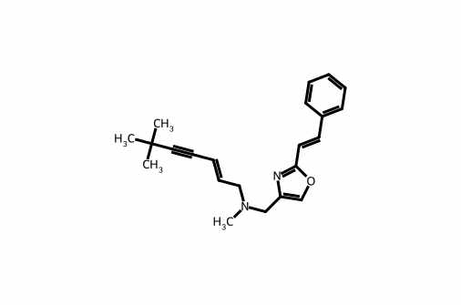 CN(CC=CC#CC(C)(C)C)Cc1coc(C=Cc2ccccc2)n1